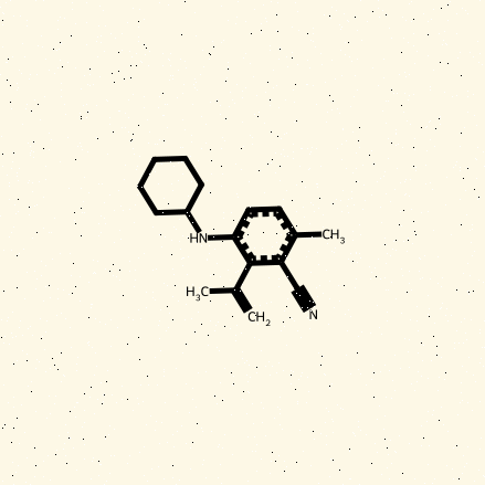 C=C(C)c1c(NC2CCCCC2)ccc(C)c1C#N